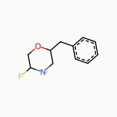 FC1COC(Cc2ccccc2)C[N]1